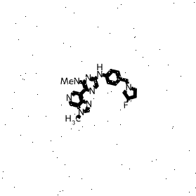 CNc1nc(Nc2ccc(CN3CC[C@@H](F)C3)cc2)cnc1-c1cncc2c1ncn2C